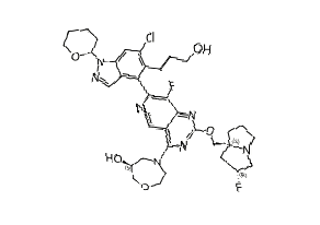 OCCCc1c(Cl)cc2c(cnn2C2CCCCO2)c1-c1ncc2c(N3CCOC[C@@H](O)C3)nc(OC[C@@]34CCCN3C[C@H](F)C4)nc2c1F